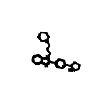 c1ccc2c(c1)nc(-c1ccc(C3CCCN3)cc1)n2CCCN1CCCCC1